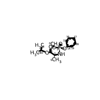 CO[P@@](=O)(N[C@H](C)C(=O)OC(C)C)Oc1ccccc1